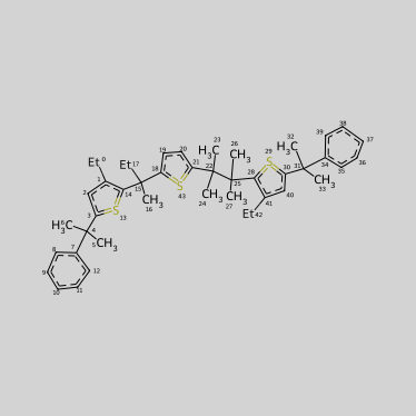 CCc1cc(C(C)(C)c2ccccc2)sc1C(C)(CC)c1ccc(C(C)(C)C(C)(C)c2sc(C(C)(C)c3ccccc3)cc2CC)s1